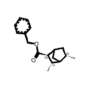 C[C@H]1CC2CC1[C@H](C)[C@H]2C(=O)OCc1ccccc1